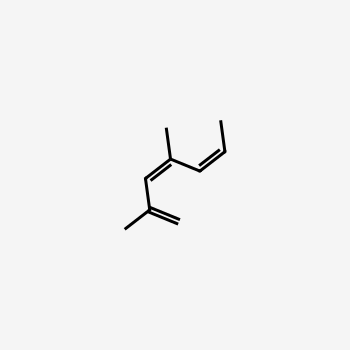 C=C(C)/C=C(C)\C=C/C